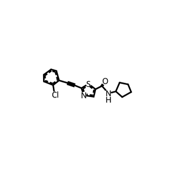 O=C(NC1CCCC1)c1cnc(C#Cc2ccccc2Cl)s1